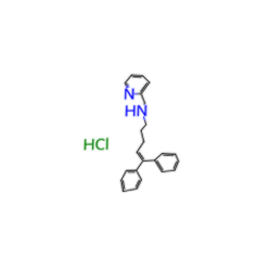 C(CCCNCc1ccccn1)=C(c1ccccc1)c1ccccc1.Cl